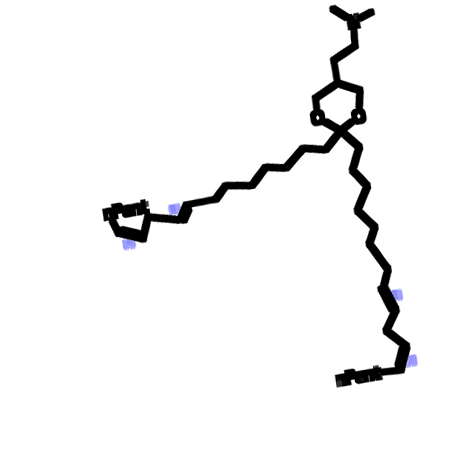 CCCCC/C=C\C/C=C/CCCCCCCC1(CCCCCCC/C=C/C/C=C\CCCCC)OCC(CCN(C)C)CO1